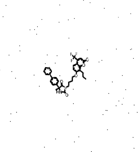 CCCc1c(OCCCCN2C(=O)NC(C)(c3ccc(-c4ccccc4)cc3)C2=O)ccc2c(C(F)(F)F)cc(=O)oc12